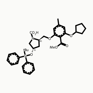 COC(=O)c1c(OC[C@H]2C[C@H](O[Si](c3ccccc3)(c3ccccc3)C(C)(C)C)CN2C(=O)O)cc(C)cc1OC1CCCC1